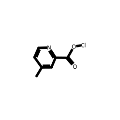 Cc1ccnc(C(=O)OCl)c1